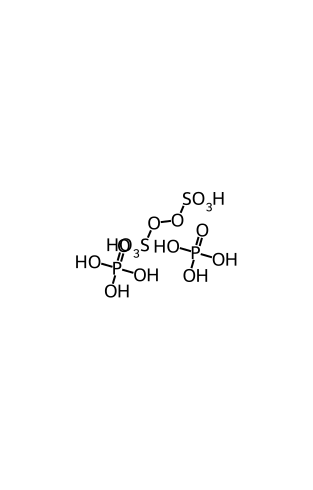 O=P(O)(O)O.O=P(O)(O)O.O=S(=O)(O)OOS(=O)(=O)O